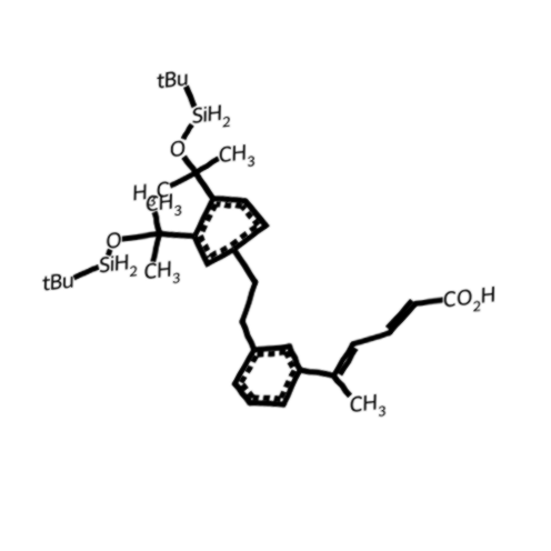 CC(=CC=CC(=O)O)c1cccc(CCc2ccc(C(C)(C)O[SiH2]C(C)(C)C)c(C(C)(C)O[SiH2]C(C)(C)C)c2)c1